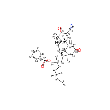 CCCC(C)(C)CC[C@@](C)(CC[C@]1(C)CC(=O)C[C@@H]2[C@@]3(C)C=C(C#N)C(=O)C(C)(C)[C@@H]3CC[C@]21C)COC(=O)c1ccccc1